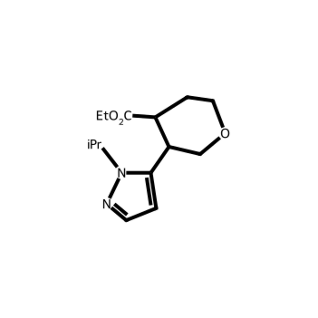 CCOC(=O)C1CCOCC1c1ccnn1C(C)C